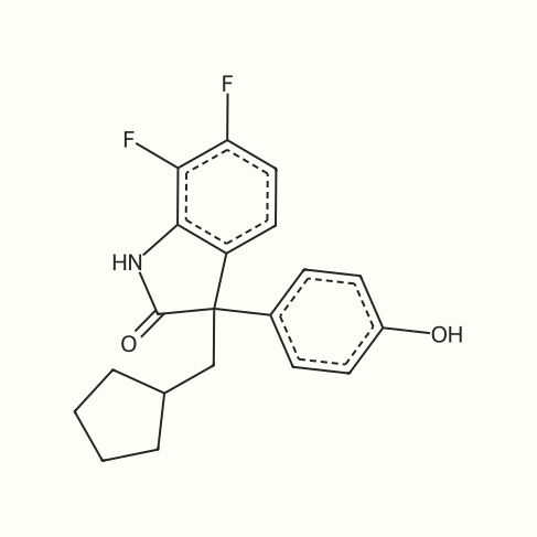 O=C1Nc2c(ccc(F)c2F)C1(CC1CCCC1)c1ccc(O)cc1